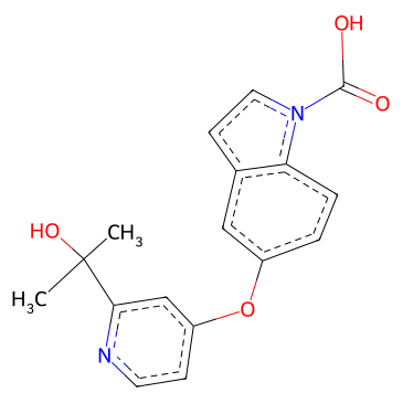 CC(C)(O)c1cc(Oc2ccc3c(ccn3C(=O)O)c2)ccn1